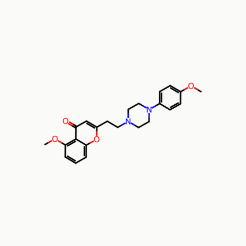 COc1ccc(N2CCN(CCc3cc(=O)c4c(OC)cccc4o3)CC2)cc1